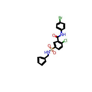 O=C(Nc1ccc(Br)cc1)c1cc(S(=O)(=O)NCc2ccccc2)ccc1Cl